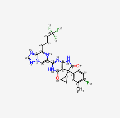 Cc1cc(C2(C3CC3)C(=O)Nc3nc(-c4cn5ncnc5c(CCCC(F)(F)F)n4)[nH]c(=O)c32)ccc1F